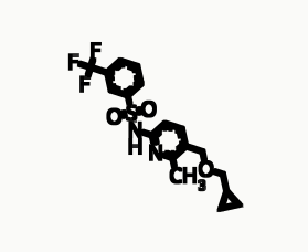 Cc1nc(NS(=O)(=O)c2cccc(C(F)(F)F)c2)ccc1COCC1CC1